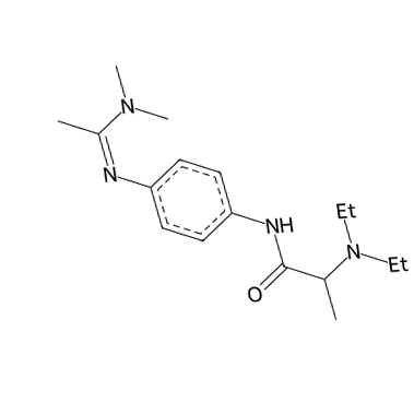 CCN(CC)C(C)C(=O)Nc1ccc(N=C(C)N(C)C)cc1